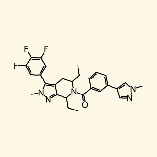 CCC1Cc2c(nn(C)c2-c2cc(F)c(F)c(F)c2)C(CC)N1C(=O)c1cccc(-c2cnn(C)c2)c1